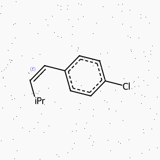 CC(C)/C=C\c1ccc(Cl)cc1